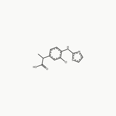 CC(C(=O)O)c1ccc(Nc2nccs2)c(Cl)c1